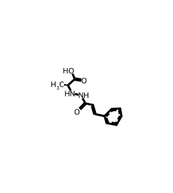 C[C@H](NNC(=O)/C=C/c1ccccc1)C(=O)O